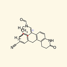 CC(C)=C/C(=C\N(C)C=O)c1ccc2c(c1Cc1cccc(C#N)c1)CCC(=O)N2